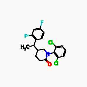 CC(c1ccc(F)cc1F)C1CCC(=O)N(c2c(Cl)cccc2Cl)C1